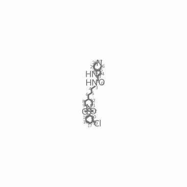 O=C(NCCCCC1CCN(S(=O)(=O)c2cccc(Cl)c2)CC1)c1cc2cnccc2[nH]1